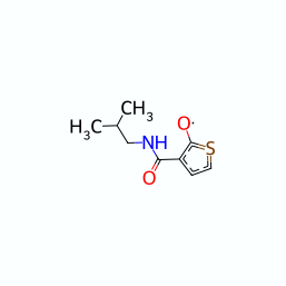 CC(C)CNC(=O)c1ccsc1[O]